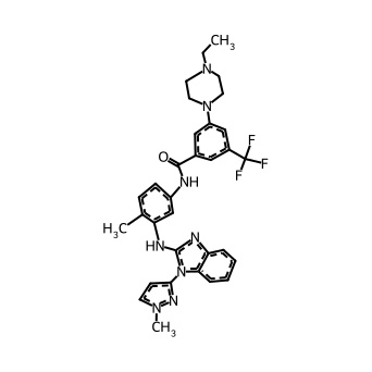 CCN1CCN(c2cc(C(=O)Nc3ccc(C)c(Nc4nc5ccccc5n4-c4ccn(C)n4)c3)cc(C(F)(F)F)c2)CC1